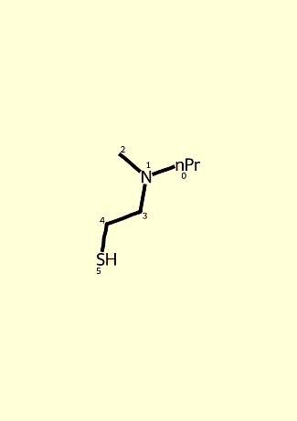 CCCN(C)CCS